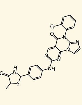 CC1SC(c2ccc(Nc3ncc4c(=O)n(-c5ccccc5Cl)c5nccn5c4n3)cc2)NC1=O